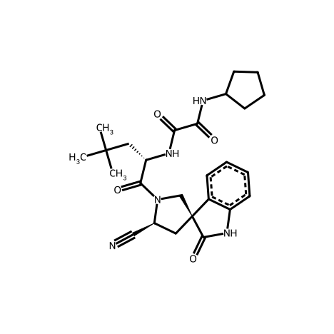 CC(C)(C)C[C@H](NC(=O)C(=O)NC1CCCC1)C(=O)N1C[C@]2(C[C@H]1C#N)C(=O)Nc1ccccc12